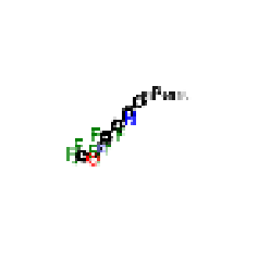 CCCCCC1CCC(c2ccc(-c3ccc(-c4cc(F)c(/C=C/C(F)(F)Oc5cc(F)c(F)c(F)c5)c(F)c4)c(F)c3)nc2)CC1